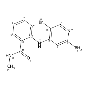 Bc1cc(Nc2ccccc2C(=O)NC)c(Br)cn1